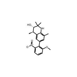 COc1cccc([N+](=O)[O-])c1-c1cc(C)c2c(c1)[C@@H](C)[C@H](O)C(C)(C)N2